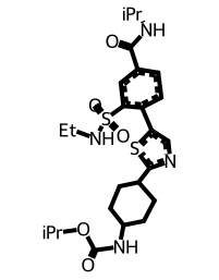 CCNS(=O)(=O)c1cc(C(=O)NC(C)C)ccc1-c1cnc(C2CCC(NC(=O)OC(C)C)CC2)s1